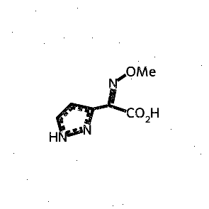 CON=C(C(=O)O)c1cc[nH]n1